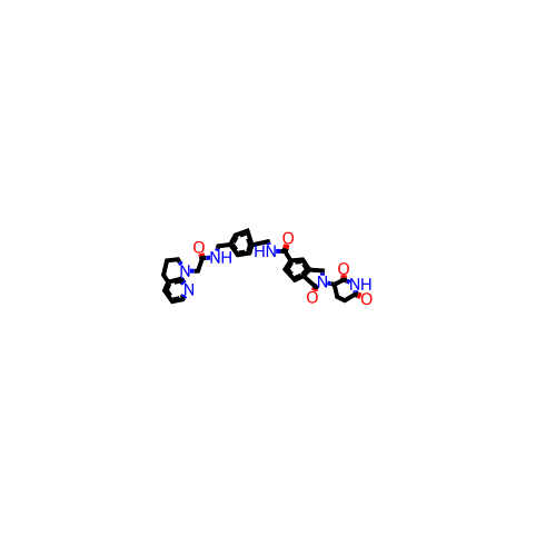 O=C(CN1CCCc2cccnc21)NCc1ccc(CNC(=O)c2ccc3c(c2)CN(C2CCC(=O)NC2=O)C3=O)cc1